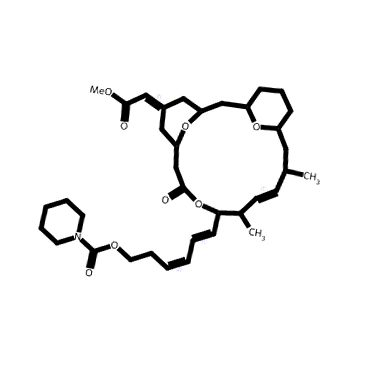 COC(=O)/C=C1\CC2CC(=O)OC(/C=C/C=C\CCOC(=O)N3CCCCC3)C(C)/C=C/C(C)CC3CCCC(CC(C1)O2)O3